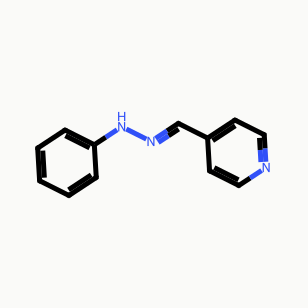 C(=N\Nc1ccccc1)/c1ccncc1